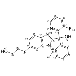 CCn1c(C(O)(c2ccccc2)c2ncccc2F)nc2ccc(CCCO)cc21